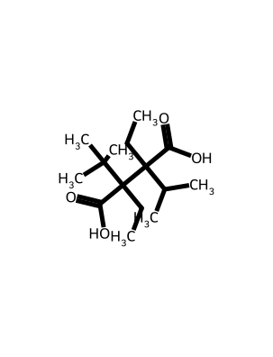 CCC(C(=O)O)(C(C)C)C(CC)(C(=O)O)C(C)(C)C